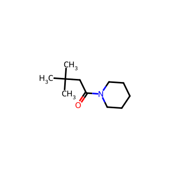 CC(C)(C)CC(=O)N1CCCCC1